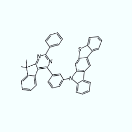 CC1(C)c2ccccc2-c2c(-c3cccc(-n4c5ccccc5c5cc6c(cc54)sc4ccccc46)c3)nc(-c3ccccc3)nc21